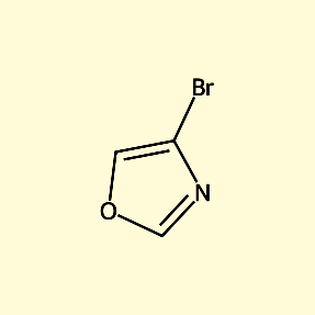 Brc1cocn1